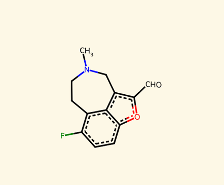 CN1CCc2c(F)ccc3oc(C=O)c(c23)C1